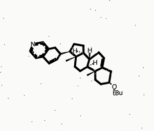 CC(C)(C)O[C@@H]1CC[C@@]2(C)C(=CC[C@H]3[C@@H]4CC[C@H](C5C=Cc6ccncc6C5)[C@@]4(C)CC[C@@H]32)C1